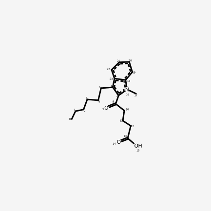 CCCCCCc1c(C(=O)CCCC(=O)O)n(C)c2ccccc12